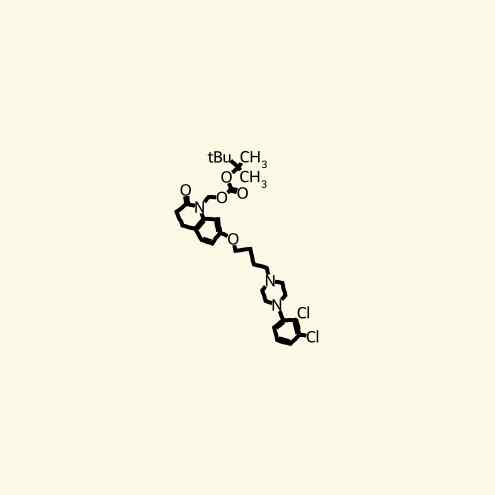 CC(C)(C)C(C)(C)OC(=O)OCN1C(=O)CCc2ccc(OCCCCN3CCN(c4cccc(Cl)c4Cl)CC3)cc21